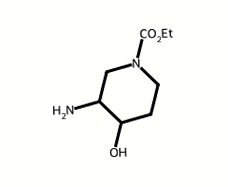 CCOC(=O)N1CCC(O)C(N)C1